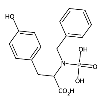 O=C(O)C(Cc1ccc(O)cc1)N(Cc1ccccc1)P(=O)(O)O